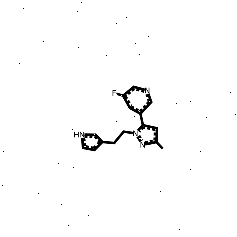 Cc1cc(-c2cncc(F)c2)n(CCc2cc[nH]c2)n1